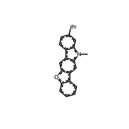 CC(C)c1ccc2c3cc4oc5ccccc5c4cc3n(C)c2c1